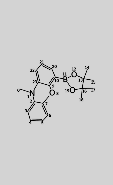 CN1c2ccccc2Oc2c(B3OC(C)(C)C(C)(C)O3)cccc21